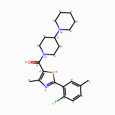 Cc1ccc(F)c(-c2nc(C)c(C(=O)N3CCC(N4CCCCC4)CC3)s2)c1